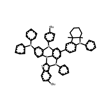 CC(C)(C)c1ccc(N2c3cc(N(c4ccccc4)c4ccccc4)ccc3B3c4sc5ccc(C(C)(C)C)cc5c4N(c4ccccc4)c4cc(-c5ccc6c(c5)C5(C)CCCCC5(C)N6c5ccccc5)cc2c43)cc1